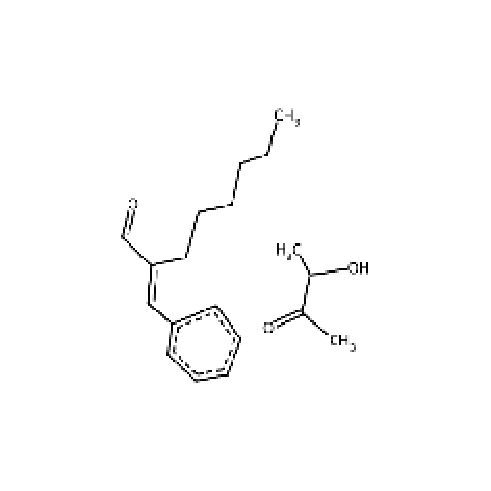 CC(=O)C(C)O.CCCCCC/C(C=O)=C\c1ccccc1